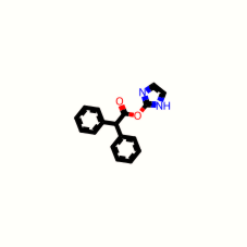 O=C(Oc1ncc[nH]1)C(c1ccccc1)c1ccccc1